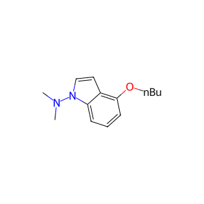 CCCCOc1cccc2c1ccn2N(C)C